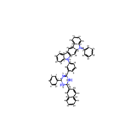 c1ccc(C2N=C(c3cccc(-n4c5ccccc5c5cc6c7ccccc7n(-c7ccccc7)c6cc54)c3)NC(c3ccc4ccccc4c3)N2)cc1